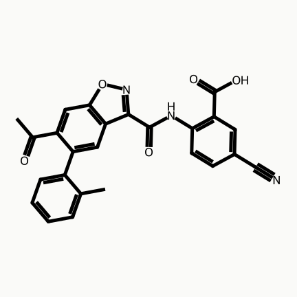 CC(=O)c1cc2onc(C(=O)Nc3ccc(C#N)cc3C(=O)O)c2cc1-c1ccccc1C